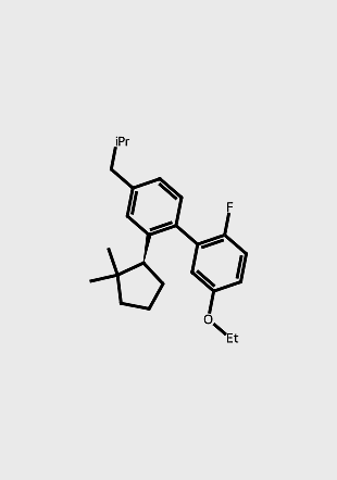 CCOc1ccc(F)c(-c2ccc(CC(C)C)cc2[C@H]2CCCC2(C)C)c1